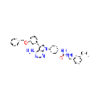 Cc1cccc(CNC(=O)N[C@H]2CC[C@@H](n3cc(-c4cccc(OCc5ccccc5)c4)c4c(N)ncnc43)CC2)c1